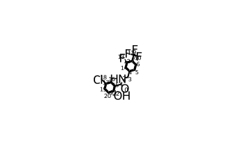 O=C(NCc1ccc(C(F)(F)F)c(F)c1)c1cc(Cl)ccc1O